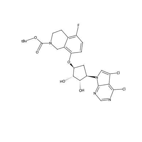 CC(C)(C)OC(=O)N1CCc2c(F)ccc(O[C@H]3C[C@@H](n4cc(Cl)c5c(Cl)ncnc54)[C@H](O)[C@@H]3O)c2C1